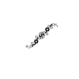 C=CC(=O)Cc1ccc(C(=O)O[C@@H]2CO[C@H]3[C@@H]2OC[C@H]3OC(=O)c2ccc(OC(=O)C=C)cc2)cc1